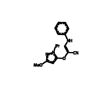 COc1cc(O/C(C#N)=C/Nc2ccccc2)n(C(C)C)n1